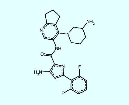 Nc1sc(-c2c(F)cccc2F)nc1C(=O)Nc1cnc2c(c1N1CCCC(N)C1)CCC2